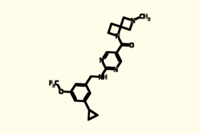 CN1CC2(CCN2C(=O)c2cnc(NCc3cc(OC(F)(F)F)cc(C4CC4)c3)nc2)C1